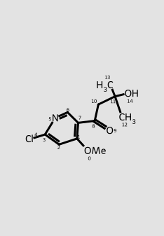 COc1cc(Cl)ncc1C(=O)CC(C)(C)O